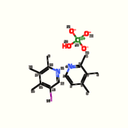 Cc1ccnc(C)c1C.Cc1ncc(I)c(C)c1C.[O-][Cl+3]([O-])([O-])O